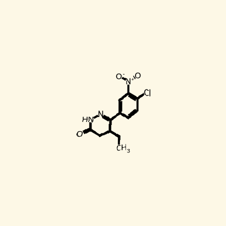 CCC1CC(=O)NN=C1c1ccc(Cl)c([N+](=O)[O-])c1